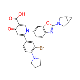 O=C(O)c1cn(-c2ccc3nc(N4CC5CC5C4)oc3c2)c(-c2ccc(N3CCCC3)c(Br)c2)cc1=O